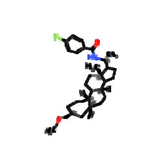 COC[C@H]1CC[C@@H]2C3CC[C@@]4(C)C(CCC4[C@@H](C)NC(=O)c4ccc(F)cc4)[C@@H]3CC[C@@H]2C1